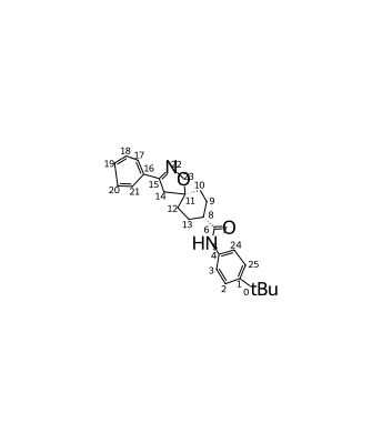 CC(C)(C)c1ccc(NC(=O)[C@H]2CC[C@]3(CC2)CC(c2ccccc2)=NO3)cc1